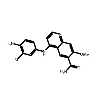 COc1cc2nccc(Nc3ccc(N)c(Cl)c3)c2cc1C(N)=O